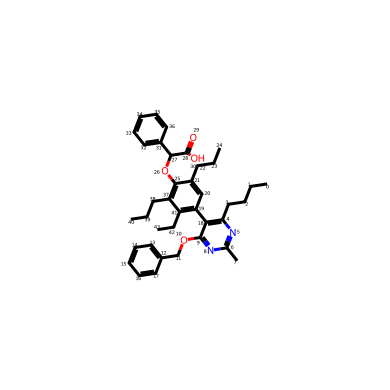 CCCCc1nc(C)nc(OCc2ccccc2)c1-c1cc(CCC)c(OC(C(=O)O)c2ccccc2)c(CCC)c1CC